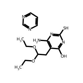 CCOC(Cc1c(N)nc(S)nc1O)OCC.c1cncnc1